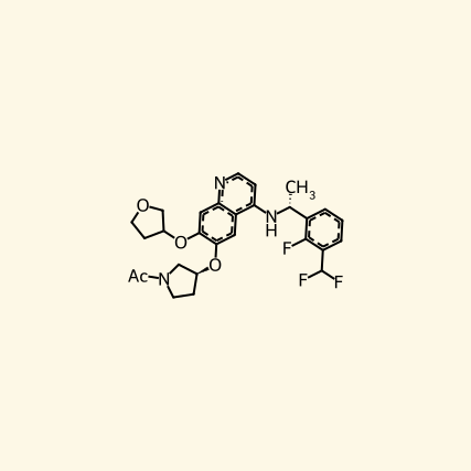 CC(=O)N1CC[C@H](Oc2cc3c(N[C@H](C)c4cccc(C(F)F)c4F)ccnc3cc2OC2CCOC2)C1